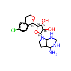 NC1NCNC2C1CCN2[C@@H]1O[C@H]([C@@H]2OCCc3cc(Cl)ccc32)[C@@H](O)[C@H]1O